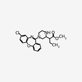 CCC(C(=O)OC)C1CN(C2=Nc3cc(Cl)ccc3Oc3ccccc32)CCN1